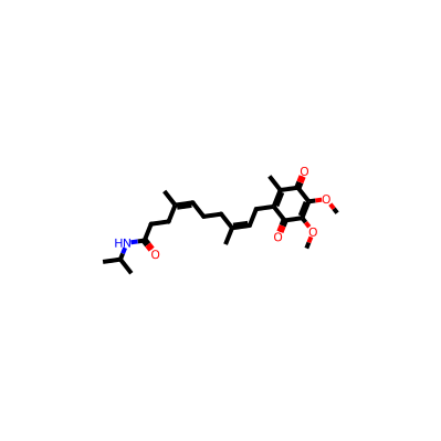 COC1=C(OC)C(=O)C(CC=C(C)CCC=C(C)CCC(=O)NC(C)C)=C(C)C1=O